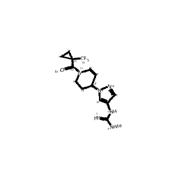 CNC(=N)Nc1cnn(C2CCN(C(=O)C3(C(F)(F)F)CC3)CC2)c1